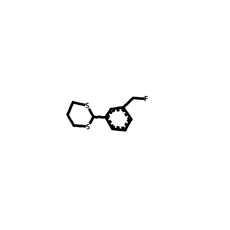 FCc1cccc(C2SCCCS2)c1